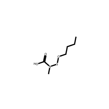 CCCCOSN(C)C(=O)O